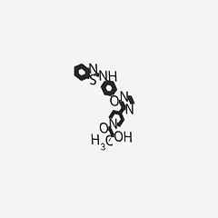 C[C@@H](O)C(=O)N1CCC(c2nccnc2Oc2ccc(Nc3nc4ccccc4s3)cc2)CC1